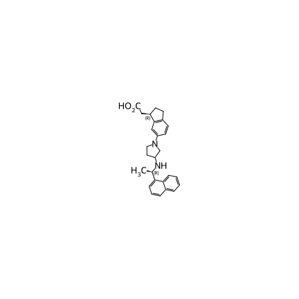 C[C@@H](NC1CCN(c2ccc3c(c2)[C@@H](CC(=O)O)CC3)C1)c1cccc2ccccc12